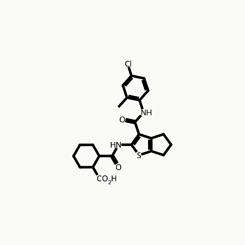 Cc1cc(Cl)ccc1NC(=O)c1c(NC(=O)C2CCCCC2C(=O)O)sc2c1CCC2